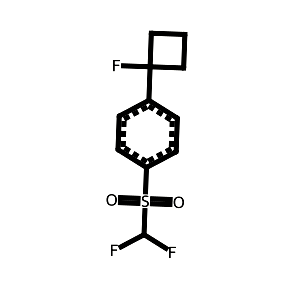 O=S(=O)(c1ccc(C2(F)CCC2)cc1)C(F)F